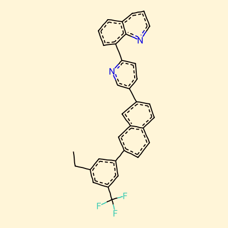 CCc1cc(-c2ccc3ccc(-c4ccc(-c5cccc6cccnc56)nc4)cc3c2)cc(C(F)(F)F)c1